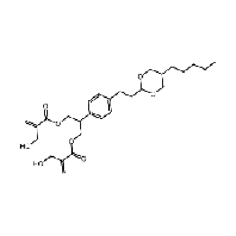 C=C(CO)C(=O)OCC(COC(=O)C(=C)CO)c1ccc(CCC2OCC(CCCCC)CO2)cc1